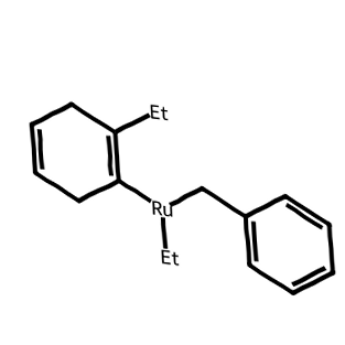 CCC1=[C]([Ru]([CH2]C)[CH2]c2ccccc2)CC=CC1